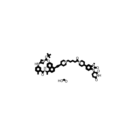 Cc1ccc(NC2CN(C(=O)OC(C)(C)C)C2)cc1C(=O)NC(C)c1ccc(C#CC2CCN(CCCCC(=O)N3CCC(c4ccc5c(c4)n(C)c(=O)n5C4CCC(=O)NC4=O)CC3)CC2)c2ccccc12.O=CO